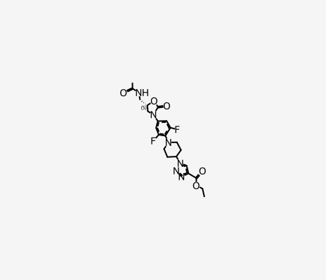 CCOC(=O)c1cn(C2CCN(c3c(F)cc(N4C[C@H](CNC(C)=O)OC4=O)cc3F)CC2)nn1